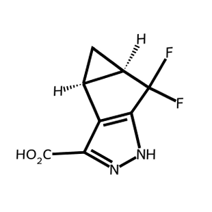 O=C(O)c1n[nH]c2c1[C@H]1C[C@H]1C2(F)F